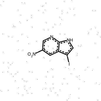 O=[N+]([O-])c1cnc2[nH]cc(I)c2c1